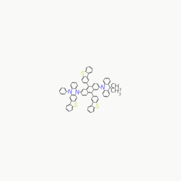 CC1(C)c2ccccc2N(c2ccc3c(-c4ccc5sc6ccccc6c5c4)c4cc(N5c6ccccc6N(c6ccccc6)c6cc7c(cc65)sc5ccccc57)ccc4c(-c4ccc5sc6ccccc6c5c4)c3c2)c2ccccc21